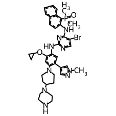 Cn1cc(-c2cc(Nc3ncc(Br)c(Nc4ccc5ccccc5c4P(C)(C)=O)n3)c(OC3CC3)cc2N2CCC(N3CCNCC3)CC2)cn1